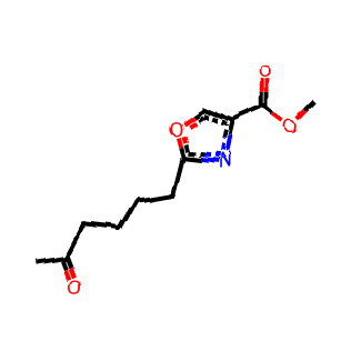 COC(=O)c1coc(CCCCC(C)=O)n1